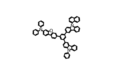 c1ccc(N(c2ccccc2)c2ccc3c(c2)oc2cc(-c4cc(-c5ccc6c(c5)c5ccccc5n6-c5ccccc5)cc(-c5ccc6c(c5)c5ccccc5n6-c5cccc6ccccc56)c4)ccc23)cc1